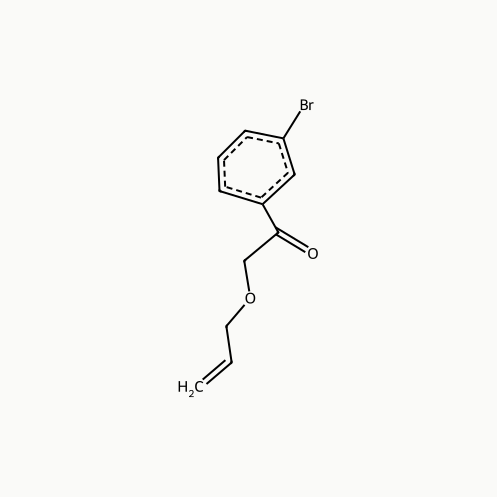 C=CCOCC(=O)c1cccc(Br)c1